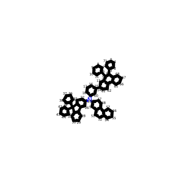 c1ccc(-c2c(-c3ccccc3)c3cc(-c4cccc(N(c5ccc6c(c5)-c5ccccc5C6(c5ccccc5)c5ccccc5)c5ccc6c(ccc7ccccc76)c5)c4)ccc3c3ccccc23)cc1